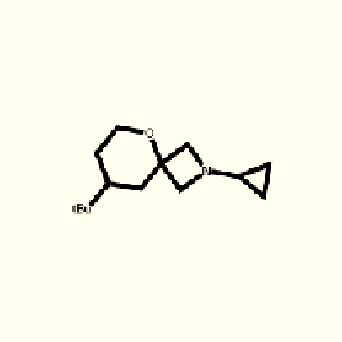 CC(C)(C)C1CCOC2(C1)CN(C1CC1)C2